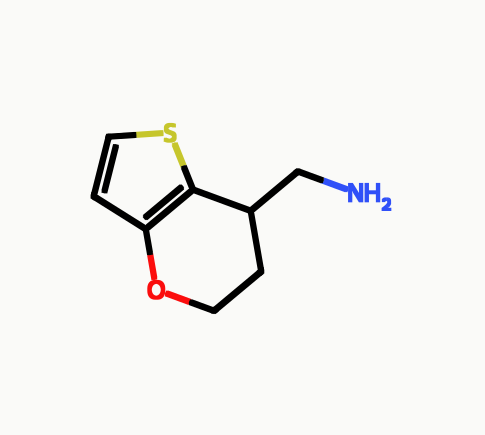 NCC1CCOc2ccsc21